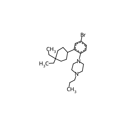 CCCN1CCN(c2ccc(Br)cc2C2CCC(CC)(CC)CC2)CC1